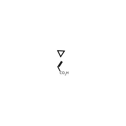 C1CC1.C=CC(=O)O